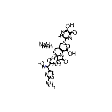 CO/N=C(\C(=O)N[C@@H]1C(=O)N2C(C(=O)O)=C(CSc3nc(=O)c(O)nn3C)CS[C@H]12)c1csc(N)n1.[NaH].[NaH]